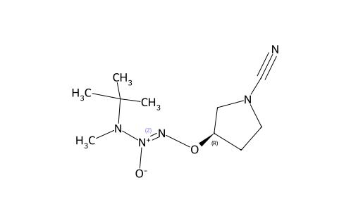 CN(/[N+]([O-])=N/O[C@@H]1CCN(C#N)C1)C(C)(C)C